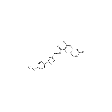 CCC1=C(C(=O)NCc2csc(-c3ccc(OC(F)(F)F)cc3)n2)CN2C=CC(Cl)=CC2=N1